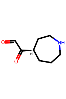 O=CC(=O)[C@@H]1CCCNCC1